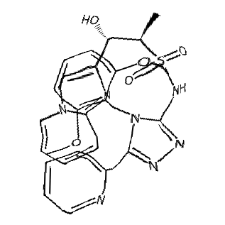 COc1cccc(OC)c1-n1c(NS(=O)(=O)[C@H](C)[C@@H](O)c2cn3ccccc3n2)nnc1-c1ccccn1